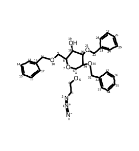 [N-]=[N+]=NCCO[C@@H]1OC(COCc2ccccc2)[C@@H](O)C(OCc2ccccc2)C1OCc1ccccc1